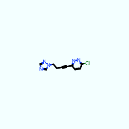 Clc1ccc(C#CCCn2cncn2)nn1